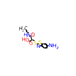 C=CCNC(=O)C(CSc1nc2ccc(N)cc2s1)C(=O)O